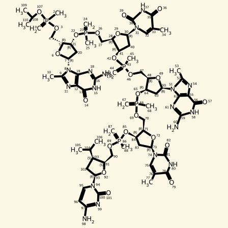 C=P(C)(OC[C@H]1O[C@@H](n2c(C)nc3c(=O)[nH]c(N)nc32)C[C@H]1OP(=C)(C)OC[C@H]1O[C@@H](n2cc(C)c(=O)[nH]c2=O)C[C@H]1OP(=C)(C)OC[C@H]1O[C@@H](n2c(C)nc3c(=O)[nH]c(N)nc32)C[C@H]1OP(=C)(C)OC[C@H]1O[C@@H](n2cc(C)c(=O)[nH]c2=O)C[C@H]1OP(=C)(C)OC[C@H]1O[C@@H](n2ccc(N)nc2=O)C[C@H]1C(C)C)OC(C)C